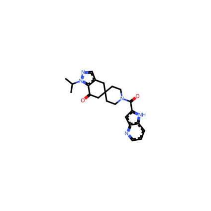 CC(C)n1ncc2c1C(=O)CC1(CCN(C(=O)c3cc4ncccc4[nH]3)CC1)C2